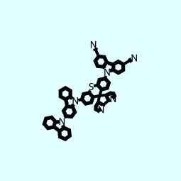 N#Cc1ccc2c(c1)c1cc(C#N)ccc1n2-c1ccc2c(c1)Sc1cc(-n3c4ccccc4c4cc(-n5c6ccccc6c6ccccc65)ccc43)ccc1C21c2cccnc2-c2ncccc21